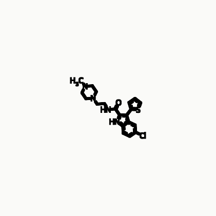 CN1CCN(CCNC(=O)c2[nH]c3ccc(Cl)cc3c2-c2cccs2)CC1